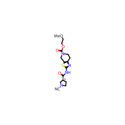 COCCOC(=O)N1CCc2nc(NC(=O)[C@H]3CCN(C#N)C3)sc2C1